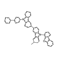 CC1C=c2c(n(-c3cccc4c3oc3ccccc34)c3ccc(-c4ccc5c(c4)c4ccccc4n5-c4ccc(-c5ccccc5)cc4)cc23)=CC1